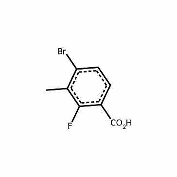 Cc1c(Br)ccc(C(=O)O)c1F